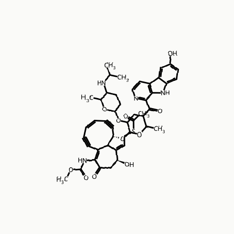 COC(=O)NC1=C2C#C/C=C\C#C[C@H](OC3OC(C)C(C(=O)c4nccc5c4[nH]c4ccc(O)cc45)CC3OC3CCC(NC(C)C)C(C)O3)C2/C(=C\CSC(C)=O)[C@@H](O)CC1=O